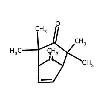 CN1C2C=CC1C(C)(C)C(=O)C2(C)C